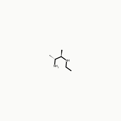 CCN[C@H](C)[C@@H](C)N